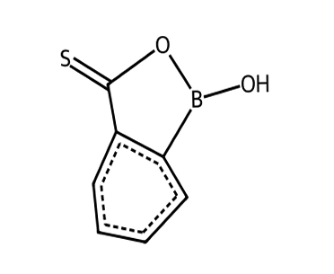 OB1OC(=S)c2ccccc21